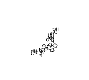 COc1nc(-c2cccc(-c3cccc(-c4cc5c(=O)n(C)c(CNCC(=O)O)nn5c4)c3Cl)c2Cl)ccc1CN(C[C@@H]1CCC(=O)N1)C(=O)OC(C)(C)C